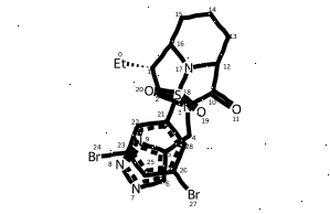 CC[C@H]1CN(Cc2cnn[nH]2)C(=O)C2CCCC1N2S(=O)(=O)c1cc(Br)cc(Br)c1